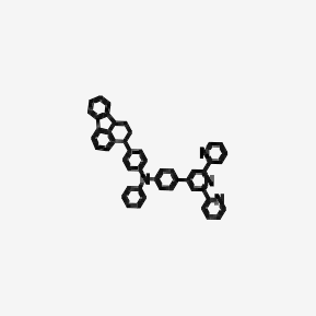 C1=C2c3ccccc3-c3cccc(c32)C(c2ccc(N(c3ccccc3)c3ccc(-c4cc(-c5ccccn5)nc(-c5ccccn5)c4)cc3)cc2)C1